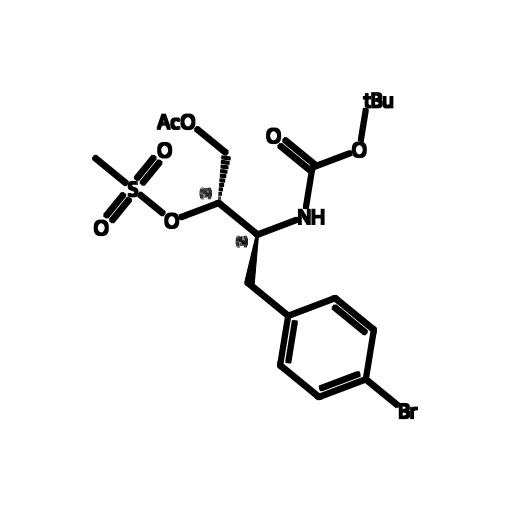 CC(=O)OC[C@@H](OS(C)(=O)=O)[C@H](Cc1ccc(Br)cc1)NC(=O)OC(C)(C)C